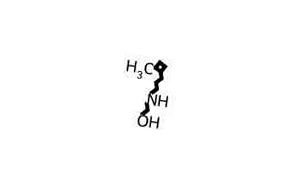 CC1CCC1CCCCNCCCO